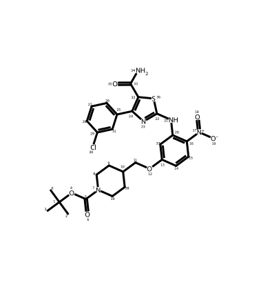 CC(C)(C)OC(=O)N1CCC(COc2ccc([N+](=O)[O-])c(Nc3nc(-c4cccc(Cl)c4)c(C(N)=O)s3)c2)CC1